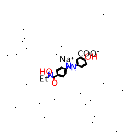 CCN(O)C(=O)c1ccc(N=Nc2ccc(O)c(C(=O)[O-])c2)cc1.[Na+]